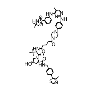 Cc1cnc(Nc2ccc(N3CCN(C(=O)CCCC(=O)NC(C(=O)N4C[C@H](O)C[C@H]4C(=O)NCc4ccc(-c5scnc5C)cc4)C(C)(C)C)CC3)cc2)nc1Nc1cccc(S(=O)(=O)NC(C)(C)C)c1